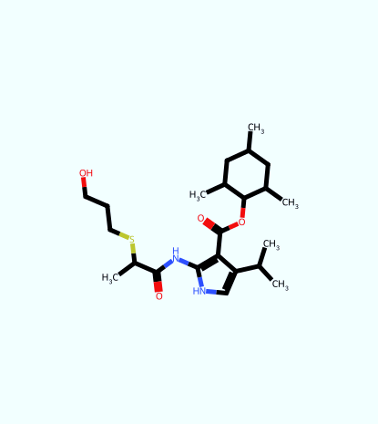 CC1CC(C)C(OC(=O)c2c(C(C)C)c[nH]c2NC(=O)C(C)SCCCO)C(C)C1